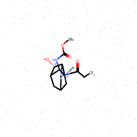 CC(C)(C)OC(=O)NC1C2CC3C[C@@H]1C([C@H]2O)N(C(=O)CC(F)(F)F)C3